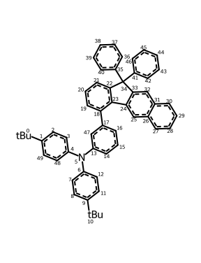 CC(C)(C)c1ccc(N(c2ccc(C(C)(C)C)cc2)c2cccc(-c3cccc4c3-c3cc5ccccc5cc3C4(c3ccccc3)c3ccccc3)c2)cc1